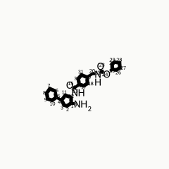 Nc1ccc(-c2ccccc2)cc1NC(=O)c1ccc(CNC(=O)Oc2ccccc2)cc1